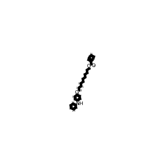 O=C(OCCCCCCCCCCCOc1ccc(Nc2ccccc2)cc1)C1CC2C=CC1C2